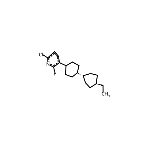 CC[C@H]1CC[C@H](C2CCC(c3ccc(Cl)nc3F)CC2)CC1